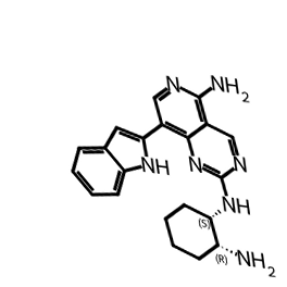 Nc1ncc(-c2cc3ccccc3[nH]2)c2nc(N[C@H]3CCCC[C@H]3N)ncc12